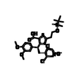 COc1ccc([C@H](Cc2c(Cl)c[n+]([O-])cc2Cl)c2cc(CCO[Si](C)(C)C(C)(C)C)sc2C(=O)O)cc1OC